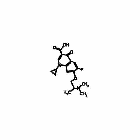 CC(COc1cc2c(cc1F)c(=O)c(C(=O)O)cn2C1CC1)N(C)C